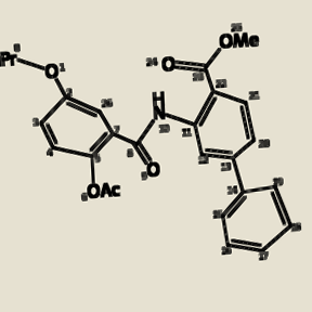 CCCOc1ccc(OC(C)=O)c(C(=O)Nc2cc(-c3ccccc3)ccc2C(=O)OC)c1